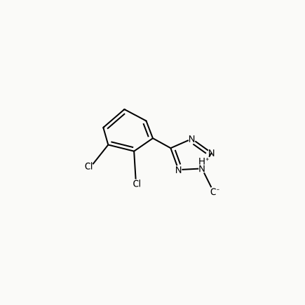 [CH2-][NH+]1N=NC(c2cccc(Cl)c2Cl)=N1